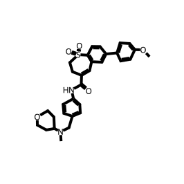 COc1ccc(-c2ccc3c(c2)C=C(C(=O)Nc2ccc(CN(C)C4CCOCC4)cc2)CCS3(=O)=O)cc1